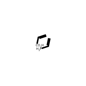 C=CC(=O)O.C=CP